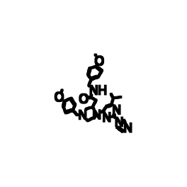 COc1ccc(CNC(=O)CC2CN(Cc3ccc(OC)cc3)CCN2c2cc(C(C)C)nc(-n3ccnc3)n2)cc1